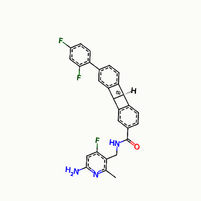 Cc1nc(N)cc(F)c1CNC(=O)c1ccc2c(c1)C1c3cc(-c4ccc(F)cc4F)ccc3[C@@H]21